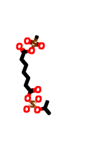 CC(C)OS(=O)(=O)OC(=O)CCCCCC(=O)OS(C)(=O)=O